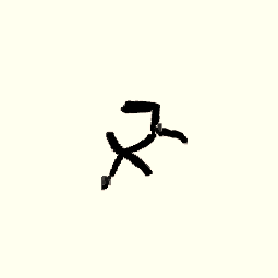 C=CN(C)C(C)(C)Br